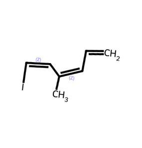 C=C/C=C(C)\C=C/I